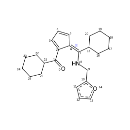 O=C(C1=CC=C/C1=C(/NCc1ccco1)C1CCCCC1)C1CCCCC1